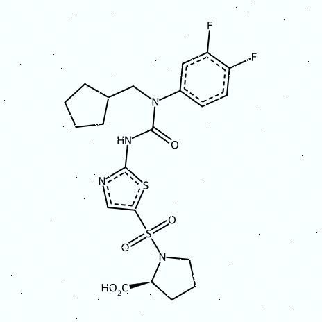 O=C(O)[C@@H]1CCCN1S(=O)(=O)c1cnc(NC(=O)N(CC2CCCC2)c2ccc(F)c(F)c2)s1